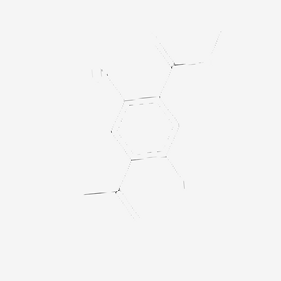 C=C(C)c1cc(N)c(C(=O)OC)cc1F